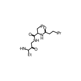 CCC([NH])C(=O)CNC(=O)C(CC(C)C)NC(=O)CCC(C)C